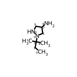 CCC(C)(C)N1CC(N)CN1